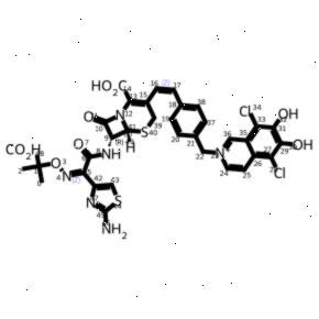 CC(C)(O/N=C(\C(=O)N[C@@H]1C(=O)N2C(C(=O)O)=C(/C=C\c3ccc(C[n+]4ccc5c(Cl)c(O)c(O)c(Cl)c5c4)cc3)CS[C@H]12)c1csc(N)n1)C(=O)O